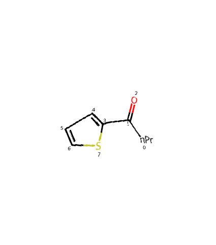 [CH2]CCC(=O)c1cccs1